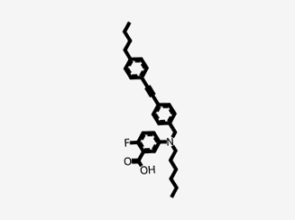 CCCCCCN(Cc1ccc(C#Cc2ccc(CCCC)cc2)cc1)c1ccc(F)c(C(=O)O)c1